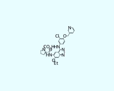 CCOc1cc2ncnc(Nc3ccc(OCc4cccnc4)c(Cl)c3)c2cc1NC(=O)[C@@H]1CCCN1C(=O)O